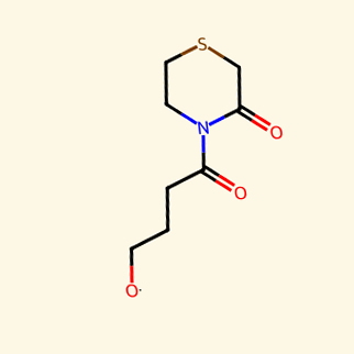 [O]CCCC(=O)N1CCSCC1=O